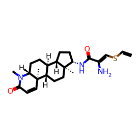 C=CS/C=C(\N)C(=O)N[C@H]1CC[C@H]2[C@@H]3CC[C@H]4N(C)C(=O)C=C[C@]4(C)[C@H]3CC[C@]12C